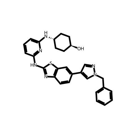 O[C@H]1CC[C@H](Nc2cccc(Nc3nc4ccc(-c5cnn(Cc6ccccc6)c5)cc4s3)n2)CC1